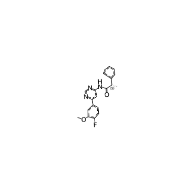 COc1cc(-c2cc(NC(=O)[C@@H](C)c3ccccc3)ncn2)ccc1F